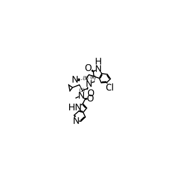 CN(C(=O)c1cc2ccncc2[nH]1)[C@@H](CC1CC1)C(=O)N1C[C@]2(C[C@H]1C#N)C(=O)Nc1ccc(Cl)cc12